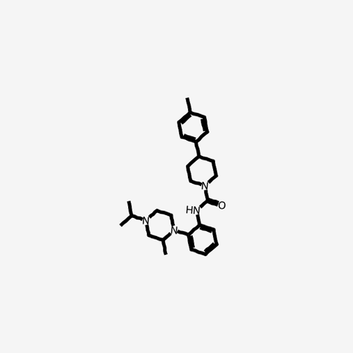 Cc1ccc(C2CCN(C(=O)Nc3ccccc3N3CCN(C(C)C)CC3C)CC2)cc1